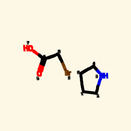 C1CCNC1.O=C(O)CBr